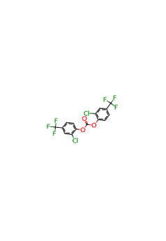 O=C(Oc1ccc(C(F)(F)F)cc1Cl)Oc1ccc(C(F)(F)F)cc1Cl